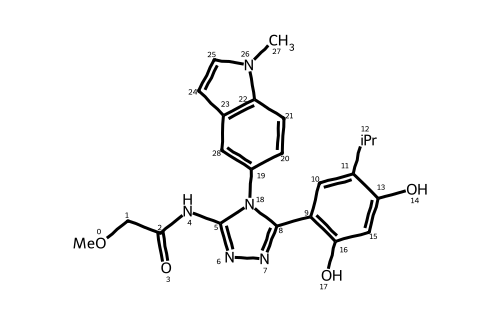 COCC(=O)Nc1nnc(-c2cc(C(C)C)c(O)cc2O)n1-c1ccc2c(ccn2C)c1